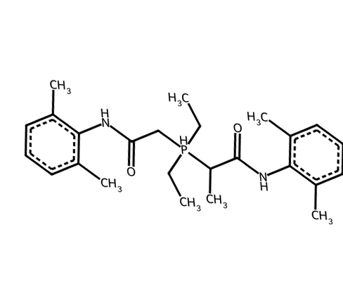 CC[PH](CC)(CC(=O)Nc1c(C)cccc1C)C(C)C(=O)Nc1c(C)cccc1C